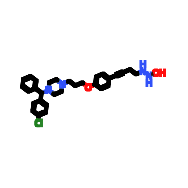 ONNCCC#Cc1ccc(OCCCN2CCN([C@H](c3ccccc3)c3ccc(Cl)cc3)CC2)cc1